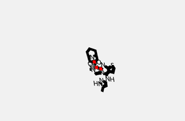 Cc1cc(Nc2nc(NC3CC4CCCC(C3)N4S(=O)(=O)c3nccn3C)nc3sccc23)n[nH]1